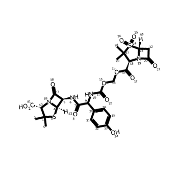 CC1(C)S[C@@H]2[C@H](NC(=O)C(NC(=O)OCOC(=O)[C@@H]3N4C(=O)C[C@H]4S(=O)(=O)C3(C)C)c3ccc(O)cc3)C(=O)N2[C@H]1C(=O)O